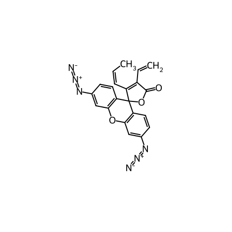 C=CC1=C(/C=C\C)C2(OC1=O)c1ccc(N=[N+]=[N-])cc1Oc1cc(N=[N+]=[N-])ccc12